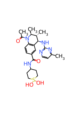 CC(=O)N1c2ccc(C(=O)NC3CCS(O)(O)CC3)cc2[C@H](Nc2nccc(C)n2)[C@@H](C)[C@@H]1C